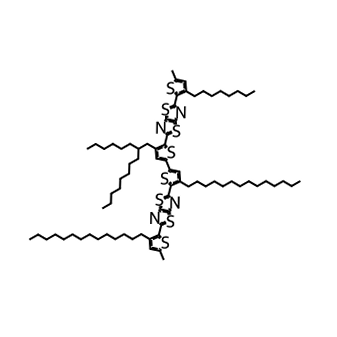 CCCCCCCCCCCCCCc1cc(C)sc1-c1nc2sc(-c3sc(-c4cc(CC(CCCCCC)CCCCCCCC)c(-c5nc6sc(-c7sc(C)cc7CCCCCCCC)nc6s5)s4)cc3CCCCCCCCCCCCCC)nc2s1